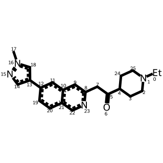 CCN1CCC(C(=O)Cc2cc3cc(-c4cnn(C)c4)ccc3cn2)CC1